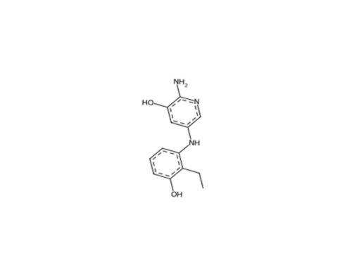 CCc1c(O)cccc1Nc1cnc(N)c(O)c1